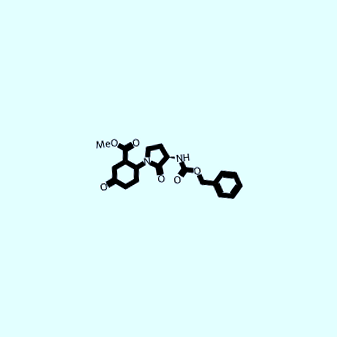 COC(=O)C1CC(=O)CCC1N1CC[C@H](NC(=O)OCc2ccccc2)C1=O